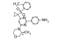 Cc1ccccc1S(=O)(=O)C1(c2cc(N3CCOC[C@@H]3C)nc(-c3ccc(N)cc3)n2)CC1